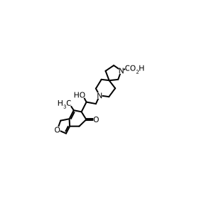 CC1=C2COC=C2CC(=O)C1C(O)CN1CCC2(CC1)CCN(C(=O)O)C2